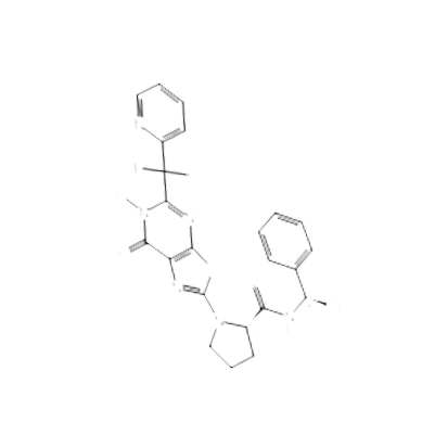 C[C@@H](NC(=O)[C@H]1CCCN1c1nc2c(=O)n(C)c(C(F)(F)c3ccccn3)nc2s1)c1ccccc1